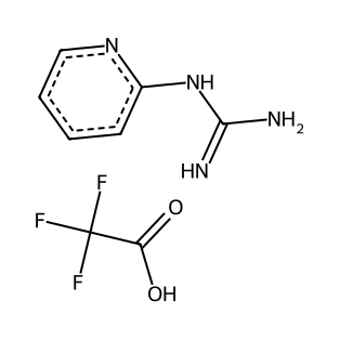 N=C(N)Nc1ccccn1.O=C(O)C(F)(F)F